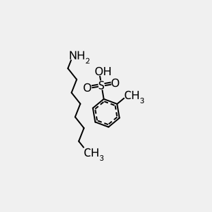 CCCCCCCCN.Cc1ccccc1S(=O)(=O)O